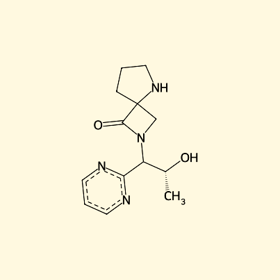 C[C@@H](O)C(c1ncccn1)N1CC2(CCCN2)C1=O